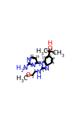 COCCNc1nc2ccc(C(C)(C)O)cc2n1-c1ccnc(N)n1